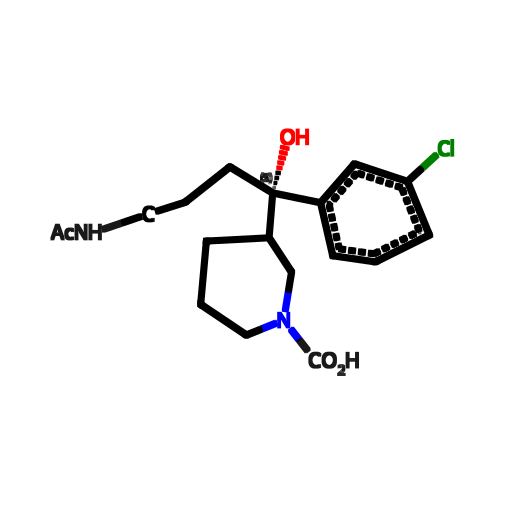 CC(=O)NCCC[C@@](O)(c1cccc(Cl)c1)C1CCCN(C(=O)O)C1